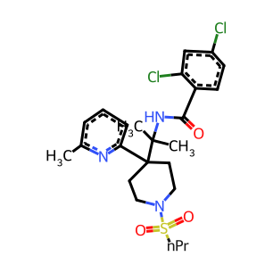 CCCS(=O)(=O)N1CCC(c2cccc(C)n2)(C(C)(C)NC(=O)c2ccc(Cl)cc2Cl)CC1